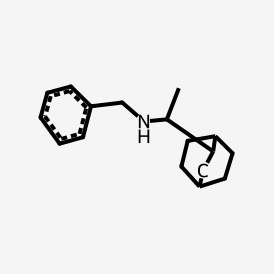 CC(NCc1ccccc1)C1CC2CCC1CC2